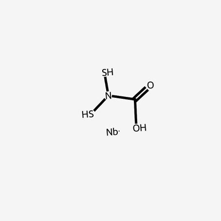 O=C(O)N(S)S.[Nb]